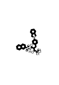 CCN(CC)C(=O)C(Cc1ccc(N2Cc3ccccc3C2)cc1)C(=O)NS(=O)(=O)c1ccc2ccccc2c1.Cl